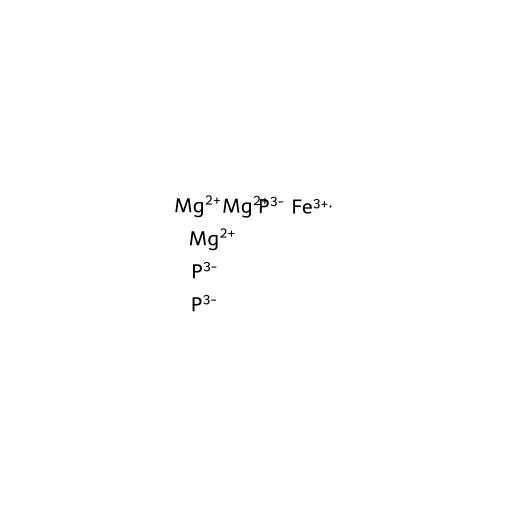 [Fe+3].[Mg+2].[Mg+2].[Mg+2].[P-3].[P-3].[P-3]